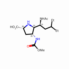 CCC(CC)C[C@H](NC(C)=O)[C@@H]1N[C@@H](C(=O)O)C[C@H]1NC(=O)OC